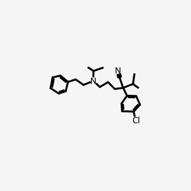 CC(C)N(CCCC(C#N)(c1ccc(Cl)cc1)C(C)C)CCc1ccccc1